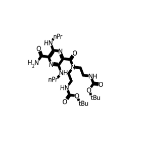 CCCNc1nc(C(=O)N(CCNC(=O)OC(C)(C)C)CCNC(=O)OC(C)(C)C)c(NCCC)nc1C(N)=O